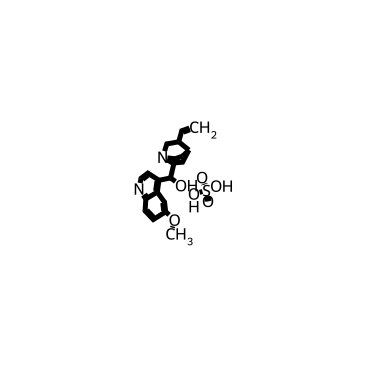 C=CC1CN2CCC1CC2C(O)c1ccnc2ccc(OC)cc12.O=S(=O)(O)O